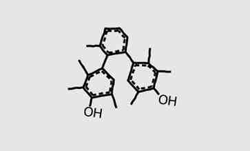 Cc1cc(-c2cccc(C)c2-c2cc(C)c(O)c(C)c2C)c(C)c(C)c1O